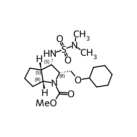 COC(=O)N1[C@@H]2CCC[C@@H]2[C@H](NS(=O)(=O)N(C)C)[C@@H]1COC1CCCCC1